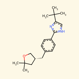 CC1(C)C[C@@H](Cc2ccc(-c3nc(C(C)(C)C)c[nH]3)cc2)CO1